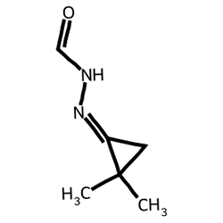 CC1(C)CC1=NNC=O